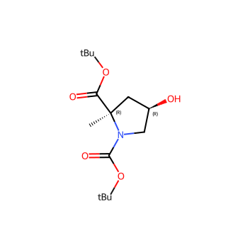 CC(C)(C)OC(=O)N1C[C@H](O)C[C@]1(C)C(=O)OC(C)(C)C